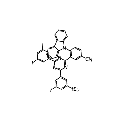 Cc1cc(I)cc(-c2nc(-c3cc(I)cc(C(C)(C)C)c3)nc(-c3cc(C#N)ccc3-n3c4ccccc4c4ccccc43)n2)c1